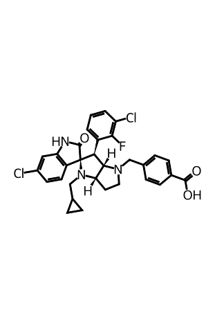 O=C(O)c1ccc(CN2CC[C@H]3[C@@H]2[C@H](c2cccc(Cl)c2F)[C@]2(C(=O)Nc4cc(Cl)ccc42)N3CC2CC2)cc1